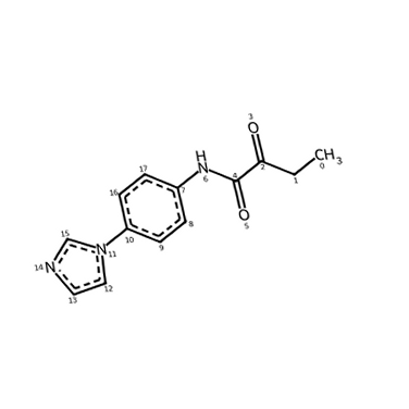 CCC(=O)C(=O)Nc1ccc(-n2ccnc2)cc1